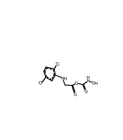 O=C(CNc1cc(Cl)ccc1Cl)OC(=O)NO